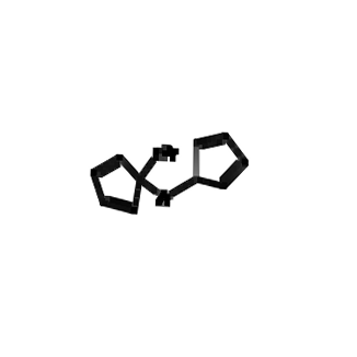 CCC[C]1([Zr][CH]2C=CC=C2)C=CC=C1